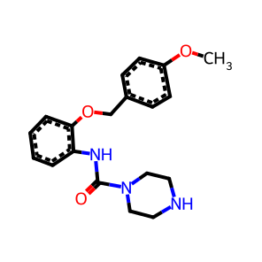 COc1ccc(COc2ccccc2NC(=O)N2CCNCC2)cc1